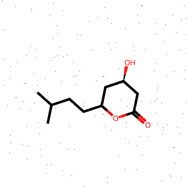 CC(C)CCC1C[C@@H](O)CC(=O)O1